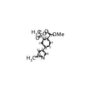 COC(=O)c1ccc(-c2cnn(C)c2)cc1S(C)(=O)=O